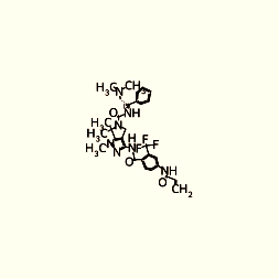 C=CC(=O)Nc1ccc(C(=O)Nc2nn(C)c3c2CN(C(=O)N[C@H](CN(C)C)c2ccccc2)C3(C)C)c(C(F)(F)F)c1